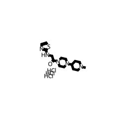 CN1CCC(N2CCN(C(=O)CNc3nccs3)CC2)CC1.Cl.Cl.Cl